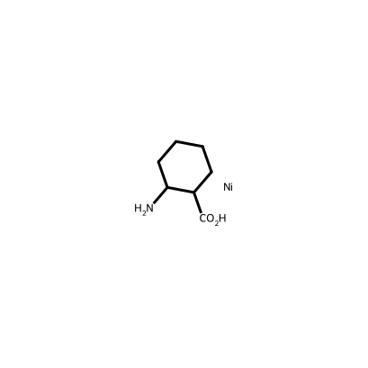 NC1CCCCC1C(=O)O.[Ni]